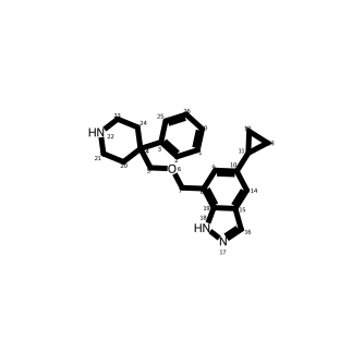 c1ccc(C2(COCc3cc(C4CC4)cc4cn[nH]c34)CCNCC2)cc1